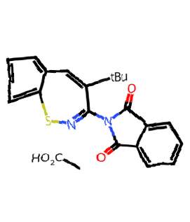 CC(=O)O.CC(C)(C)C1=Cc2ccccc2SN=C1N1C(=O)c2ccccc2C1=O